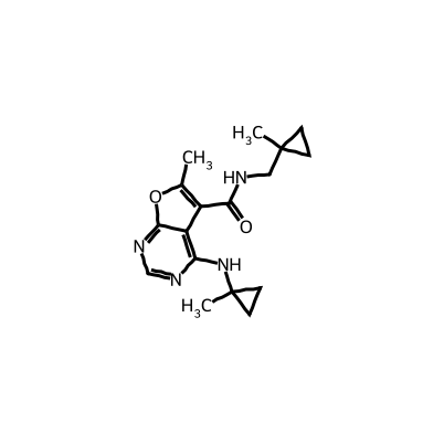 Cc1oc2ncnc(NC3(C)CC3)c2c1C(=O)NCC1(C)CC1